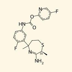 C[C@@H]1SCCC(C)(c2cc(NC(=O)Oc3ccc(F)cn3)ccc2F)N=C1N